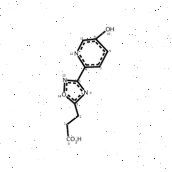 O=C(O)CCc1nc(-c2ccc(O)cn2)no1